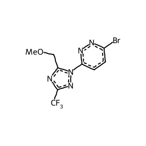 COCc1nc(C(F)(F)F)nn1-c1ccc(Br)nn1